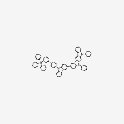 c1ccc(-n2c3ccccc3c3cc4c5cc(-c6ccc7c(c6)c6ccccc6n7-c6ccc(-c7cccc([Si](c8ccccc8)(c8ccccc8)c8ccccc8)c7)cc6)ccc5n(-c5ccccc5)c4cc32)cc1